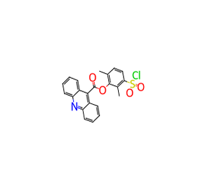 Cc1ccc(S(=O)(=O)Cl)c(C)c1OC(=O)c1c2ccccc2nc2ccccc12